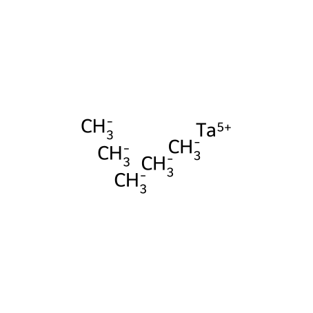 [CH3-].[CH3-].[CH3-].[CH3-].[CH3-].[Ta+5]